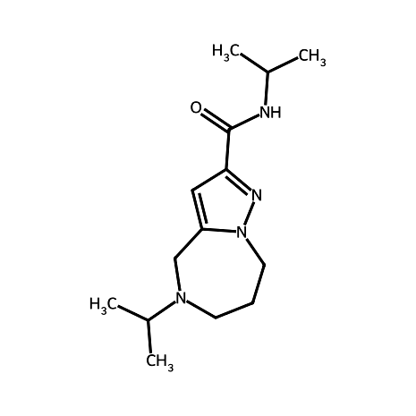 CC(C)NC(=O)c1cc2n(n1)CCCN(C(C)C)C2